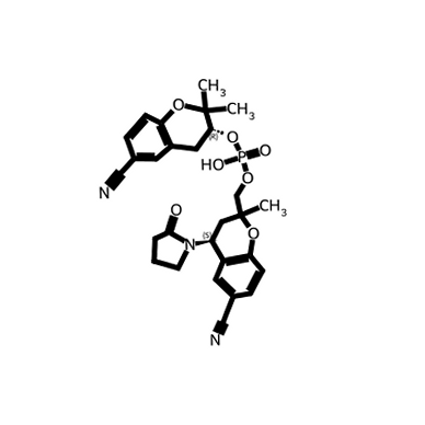 CC1(COP(=O)(O)O[C@@H]2Cc3cc(C#N)ccc3OC2(C)C)C[C@H](N2CCCC2=O)c2cc(C#N)ccc2O1